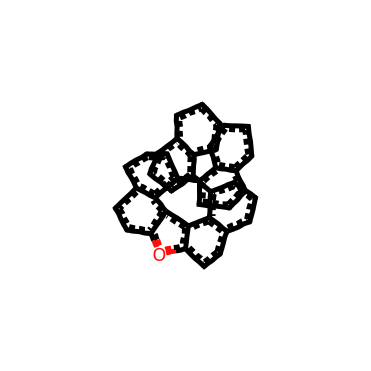 c1ccc2c(-c3cccc4ccc5oc6ccc7cccc(-c8cccc9ccccc89)c7c6c5c34)cccc2c1